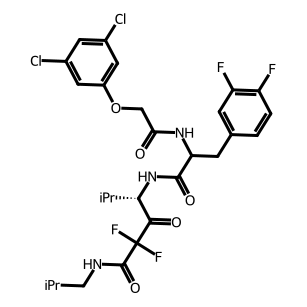 CC(C)CNC(=O)C(F)(F)C(=O)[C@@H](NC(=O)C(Cc1ccc(F)c(F)c1)NC(=O)COc1cc(Cl)cc(Cl)c1)C(C)C